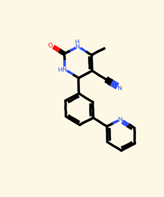 CC1=C(C#N)C(c2cccc(-c3ccccn3)c2)NC(=O)N1